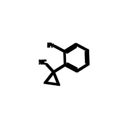 CC(C)c1ccccc1C1(C#N)CC1